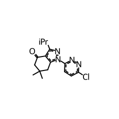 CC(C)c1nn(-c2ccc(Cl)nn2)c2c1C(=O)CC(C)(C)C2